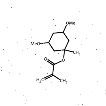 C=C(C)C(=O)OC1(C)CC(OC)CC(OC)C1